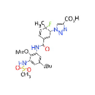 COc1c(NC(=O)C2=CC(n3cc(C(=O)O)nn3)C(C)(F)C=C2)cc(C(C)(C)C)cc1NS(C)(=O)=O